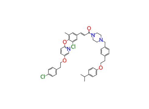 Cc1cc(C=CC(=O)N2CCN(Cc3ccc(CCOc4ccc(C(C)C)cc4)cc3)CC2)cc(Cl)c1Oc1ccc(OCCc2ccc(Cl)cc2)cn1